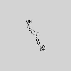 O=C(O)CCOCOCCC(=O)c1ccc(OCOCCO)cc1